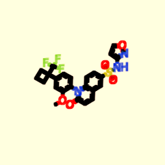 COc1cc(C2(C(F)(F)F)CCC2)ccc1-n1c(=O)ccc2cc(S(=O)(=O)Nc3ccon3)ccc21